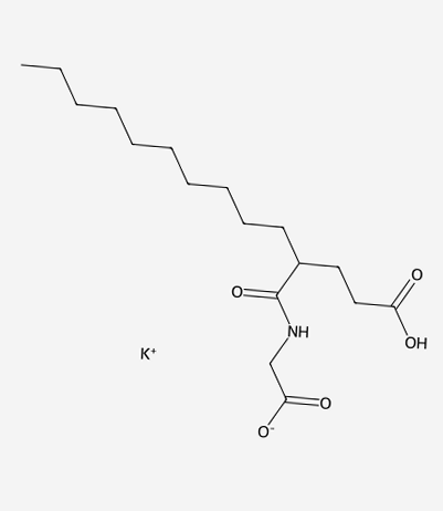 CCCCCCCCCCC(CCC(=O)O)C(=O)NCC(=O)[O-].[K+]